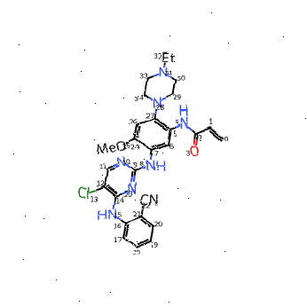 C=CC(=O)Nc1cc(Nc2ncc(Cl)c(Nc3ccccc3C#N)n2)c(OC)cc1N1CCN(CC)CC1